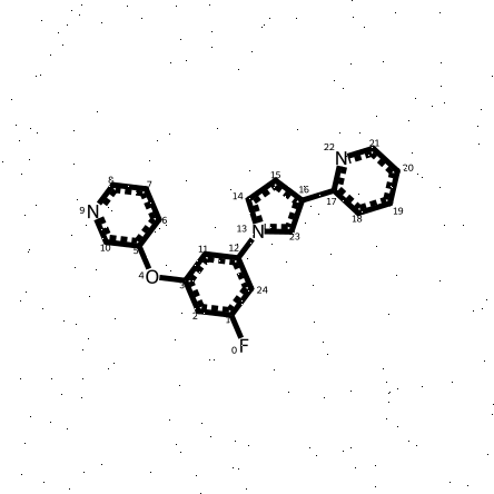 Fc1cc(Oc2cccnc2)cc(-n2ccc(-c3ccccn3)c2)c1